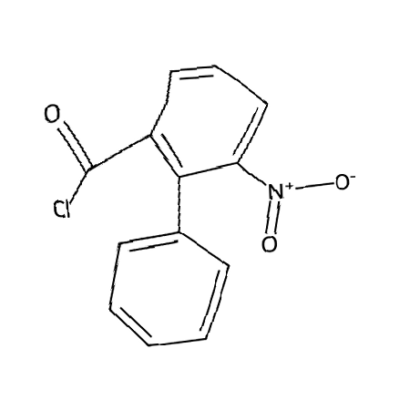 O=C(Cl)c1cccc([N+](=O)[O-])c1-c1ccccc1